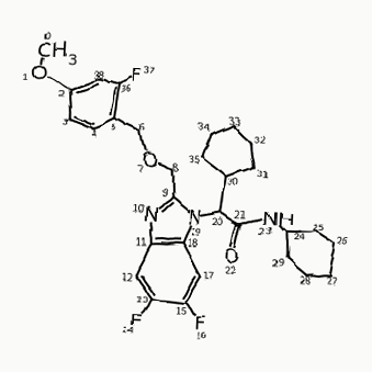 COc1ccc(COCc2nc3cc(F)c(F)cc3n2C(C(=O)NC2CCCCC2)C2CCCCC2)c(F)c1